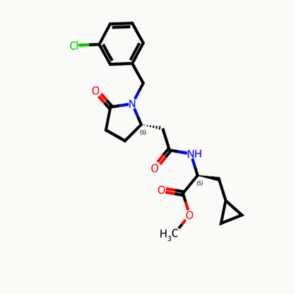 COC(=O)[C@H](CC1CC1)NC(=O)C[C@@H]1CCC(=O)N1Cc1cccc(Cl)c1